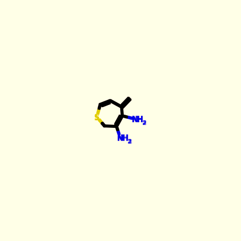 C=C1C=CSCC(N)=C1N